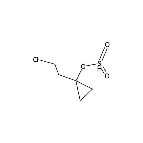 O=[SH](=O)OC1(CCCl)CC1